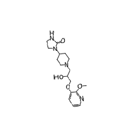 COc1ncccc1OCC(O)CN1CCC(N2CCNC2=O)CC1